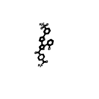 CC(=O)N1CCN(C(=O)c2cc(-c3ccc(-c4cccc(S(C)(=O)=O)c4)s3)n(-c3ccccc3Cl)n2)CC1